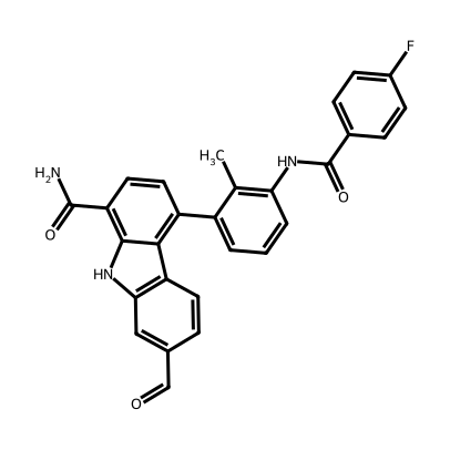 Cc1c(NC(=O)c2ccc(F)cc2)cccc1-c1ccc(C(N)=O)c2[nH]c3cc(C=O)ccc3c12